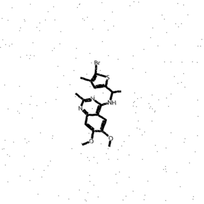 COc1cc2nc(C)nc(NC(C)c3cc(C)c(Br)s3)c2cc1OC